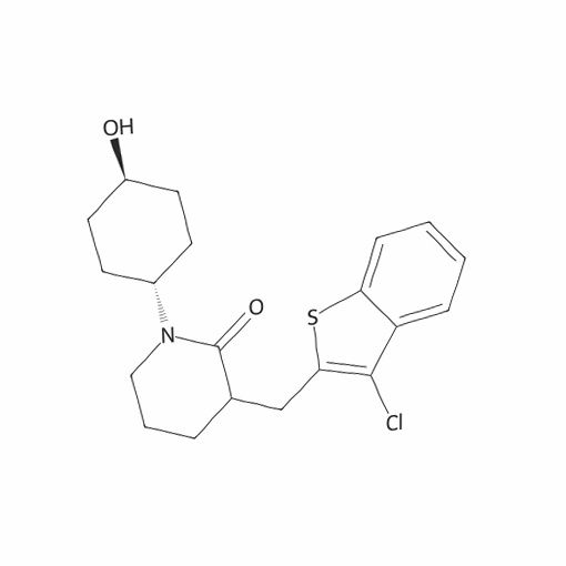 O=C1C(Cc2sc3ccccc3c2Cl)CCCN1[C@H]1CC[C@H](O)CC1